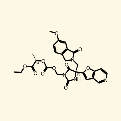 CCOC(=O)[C@H](C)OC(=O)OCN1C(=O)N[C@@](CN2Cc3ccc(OC)cc3C2=O)(c2cc3cnccc3o2)C1=O